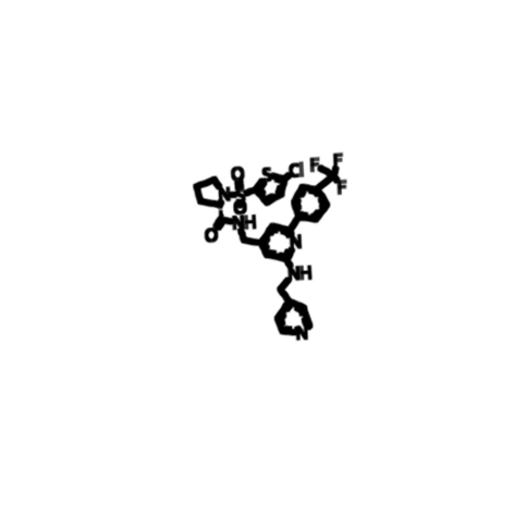 O=C(NCc1cc(NCc2ccncc2)nc(-c2ccc(C(F)(F)F)cc2)c1)[C@@H]1CCCN1S(=O)(=O)c1ccc(Cl)s1